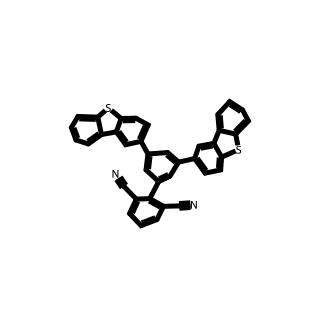 N#Cc1cccc(C#N)c1-c1cc(-c2ccc3sc4ccccc4c3c2)cc(-c2ccc3sc4ccccc4c3c2)c1